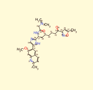 COc1cc2nc(C)ccc2cc1-c1cnc([C@H](CCCCCC(=O)c2cc(C)on2)NC(=O)CN(C)C)[nH]1